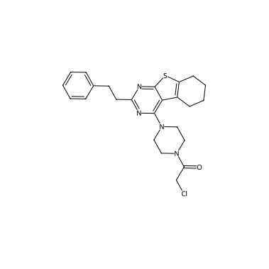 O=C(CCl)N1CCN(c2nc(CCc3ccccc3)nc3sc4c(c23)CCCC4)CC1